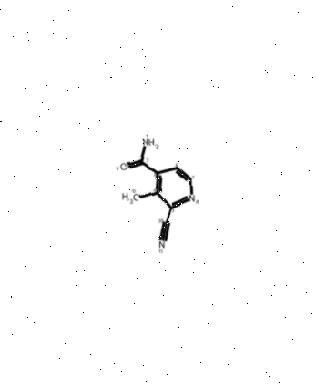 Cc1c(C(N)=O)ccnc1C#N